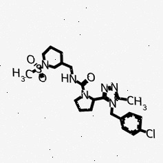 Cc1nnc(C2CCCN2C(=O)NCC2CCCN(S(C)(=O)=O)C2)n1Cc1ccc(Cl)cc1